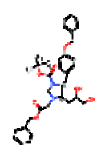 CC(C)(C)OC(=O)N1CN(CC(=O)OCc2ccccc2)[C@H](CC(O)CO)[C@@H]1Cc1ccc(OCc2ccccc2)cc1